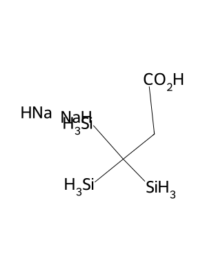 O=C(O)CC([SiH3])([SiH3])[SiH3].[NaH].[NaH]